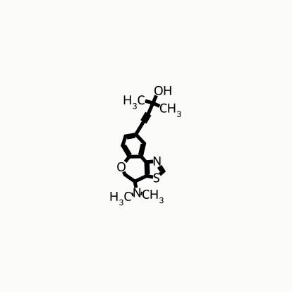 CN(C)C1COc2ccc(C#CC(C)(C)O)cc2-c2ncsc21